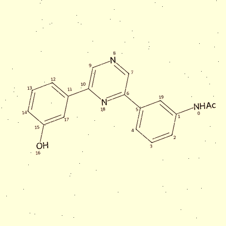 CC(=O)Nc1cccc(-c2cncc(-c3cccc(O)c3)n2)c1